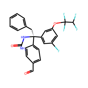 NC(=O)N[C@](Cc1ccccc1)(c1ccc(C=O)cc1)c1cc(F)cc(OC(F)(F)C(F)F)c1